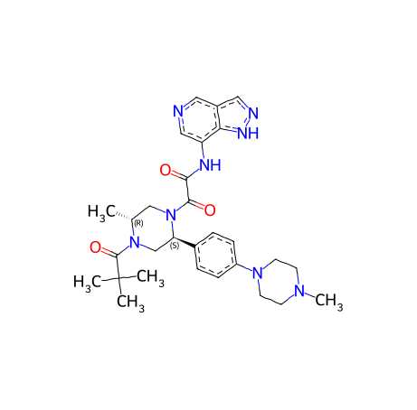 C[C@@H]1CN(C(=O)C(=O)Nc2cncc3cn[nH]c23)[C@@H](c2ccc(N3CCN(C)CC3)cc2)CN1C(=O)C(C)(C)C